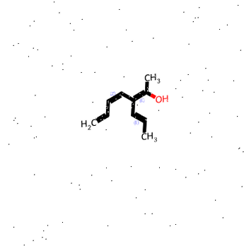 C=C\C=C/C(/C=C/C)=C(\C)O